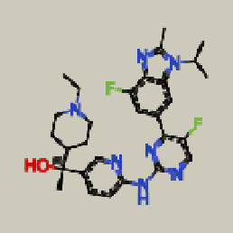 CCN1CCC([C@@](C)(O)c2ccc(Nc3ncc(F)c(-c4cc(F)c5nc(C)n(C(C)C)c5c4)n3)nc2)CC1